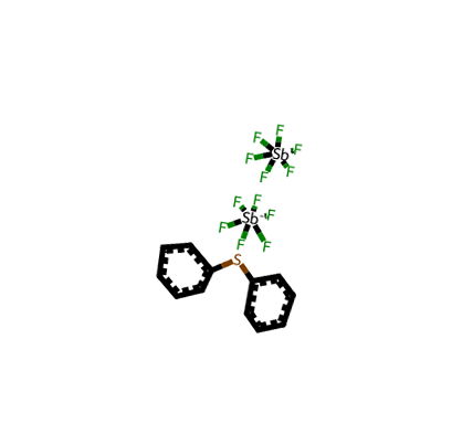 [F][Sb-]([F])([F])([F])([F])[F].[F][Sb-]([F])([F])([F])([F])[F].c1ccc(Sc2ccccc2)cc1